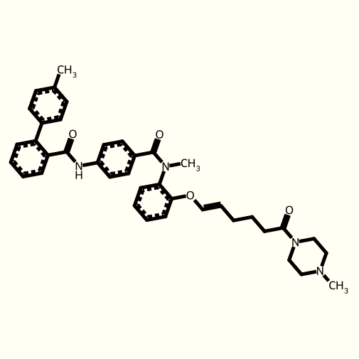 Cc1ccc(-c2ccccc2C(=O)Nc2ccc(C(=O)N(C)c3ccccc3OC=CCCCC(=O)N3CCN(C)CC3)cc2)cc1